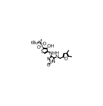 Cc1cc(CNc2n[s+]([O-])nc2Nc2csc(S(=O)(=O)N(C)C(C)(C)C)c2O)oc1C